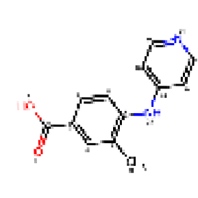 Cc1cc(C(=O)O)ccc1Nc1ccncc1